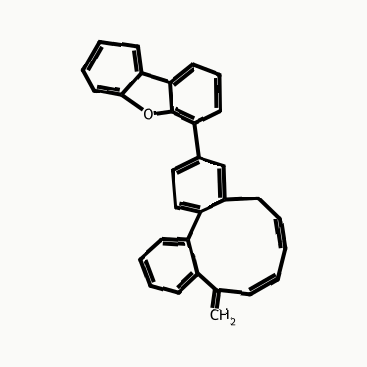 C=C1/C=C\C=C/Cc2cc(-c3cccc4c3oc3ccccc34)ccc2-c2ccccc21